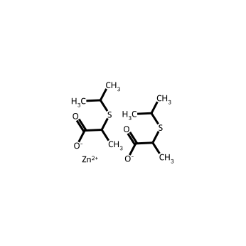 CC(C)SC(C)C(=O)[O-].CC(C)SC(C)C(=O)[O-].[Zn+2]